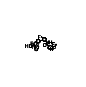 Cc1ccc(NC(=O)c2ccnc(C(F)(F)F)c2)cc1-c1cc2c(cc1F)C[C@](F)(CO)[C@H]1COCCN21